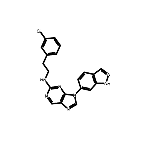 Clc1cccc(CCNc2ncc3ncn(-c4ccc5cn[nH]c5c4)c3n2)c1